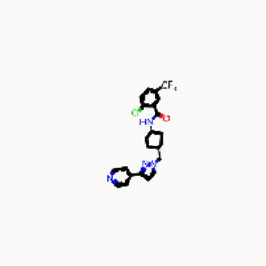 O=C(N[C@H]1CC[C@H](Cn2ccc(-c3ccncc3)n2)CC1)c1cc(C(F)(F)F)ccc1Cl